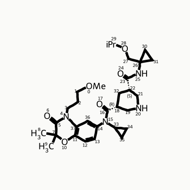 COCCCN1C(=O)C(C)(C)Oc2ccc(N(C(=O)[C@H]3CNC[C@@H](C(=O)NC4(COC(C)C)CC4)C3)C3CC3)cc21